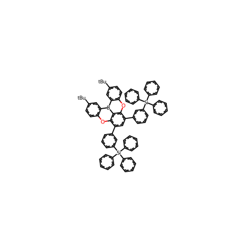 CC(C)(C)c1ccc2c(c1)B1c3cc(C(C)(C)C)ccc3Oc3c(-c4cccc([Si](c5ccccc5)(c5ccccc5)c5ccccc5)c4)cc(-c4cccc([Si](c5ccccc5)(c5ccccc5)c5ccccc5)c4)c(c31)O2